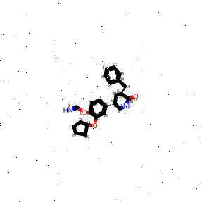 N=COc1ccc([C@H]2CNC(=O)[C@H](Cc3ccccc3)C2)cc1OC1CCCC1